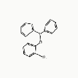 CC(C)(C)c1ccccc1OP(c1ccccc1)c1ccccc1